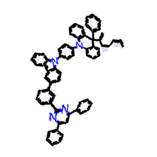 C=C(/C=C\C=C/C)C1(c2ccccc2)c2ccccc2N(c2ccc(-n3c4ccccc4c4cc(-c5cccc(-c6nc(-c7ccccc7)cc(-c7ccccc7)n6)c5)ccc43)cc2)c2ccccc21